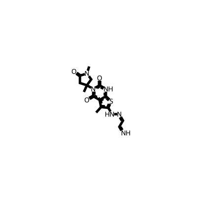 Cc1c(N/N=C\C=N)sc2[nH]c(=O)n(C3(C)CC(=O)N(C)C3)c(=O)c12